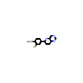 COc1ccc(-c2ccc3ncncc3n2)cc1Cl